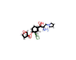 N[C@H](CN1CCCC1)C(O)c1ccc(OC2CCOC2)c(Cl)c1